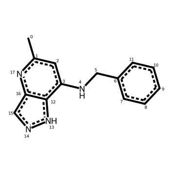 Cc1cc(NCc2ccccc2)c2[nH]ncc2n1